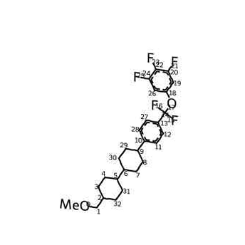 COCC1CCC(C2CCC(c3ccc(C(F)(F)Oc4cc(F)c(F)c(F)c4)cc3)CC2)CC1